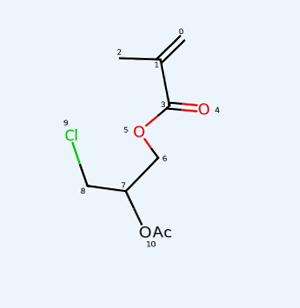 C=C(C)C(=O)OCC(CCl)OC(C)=O